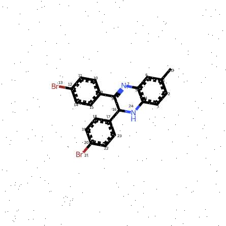 Cc1ccc2c(c1)N=C(c1ccc(Br)cc1)C(c1ccc(Br)cc1)N2